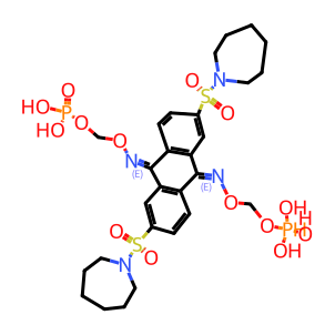 O=P(O)(O)OCO/N=C1/c2cc(S(=O)(=O)N3CCCCCC3)ccc2/C(=N\OCO[PH](O)(O)O)c2cc(S(=O)(=O)N3CCCCCC3)ccc21